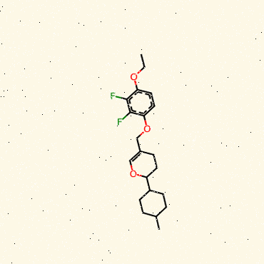 CCOc1ccc(OCC2=COC(C3CCC(C)CC3)CC2)c(F)c1F